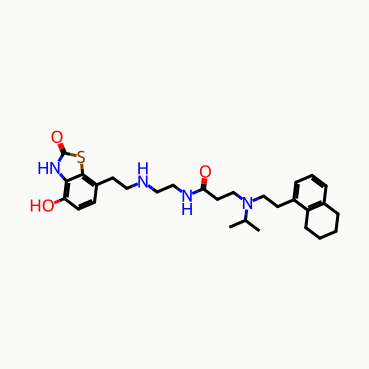 CC(C)N(CCC(=O)NCCNCCc1ccc(O)c2[nH]c(=O)sc12)CCc1cccc2c1CCCC2